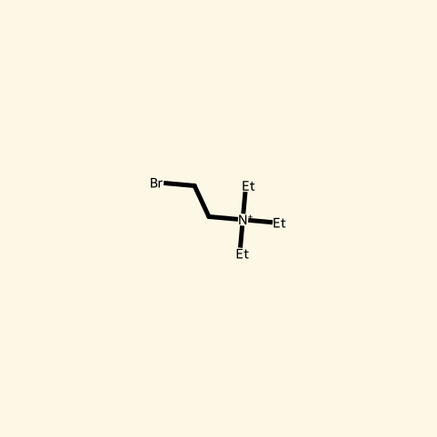 CC[N+](CC)(CC)CCBr